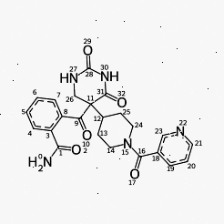 NC(=O)c1ccccc1C(=O)C1(C2CCN(C(=O)c3cccnc3)CC2)CNC(=O)NC1=O